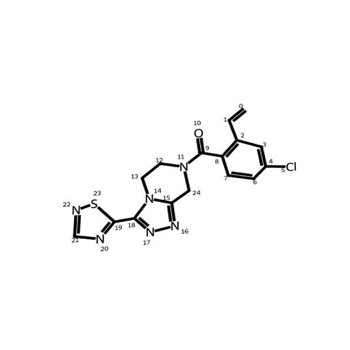 C=Cc1cc(Cl)ccc1C(=O)N1CCn2c(nnc2-c2ncns2)C1